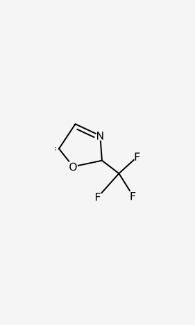 FC(F)(F)C1N=C[C]O1